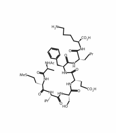 CSCC[C@H](NC(=O)[C@H](C)NC(C)=O)C(=O)N[C@H](C(=O)N[C@@H](CO)C(=O)N[C@@H](CCC(=O)O)C(=O)N[C@@H](Cc1ccccc1)C(=O)N[C@@H](CC(C)C)C(=O)N[C@@H](CCCCN)C(=O)O)C(C)C